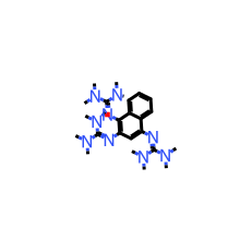 CN(C)C(=Nc1cc(N=C(N(C)C)N(C)C)c2ccccc2c1N=C(N(C)C)N(C)C)N(C)C